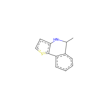 CC1Nc2ccsc2-c2ccccc21